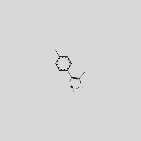 CC1=C(c2ccc(C)cc2)P=P[N]1